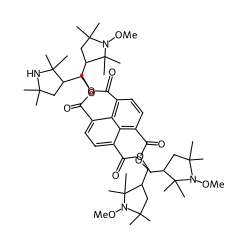 CON1C(C)(C)CC(COC(=O)c2ccc(C(=O)OCC3CC(C)(C)N(OC)C3(C)C)c3c(C(=O)OCC4CC(C)(C)N(OC)C4(C)C)ccc(C(=O)OCC4CC(C)(C)NC4(C)C)c23)C1(C)C